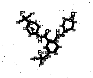 O=C(NC12CCC(C(F)(F)F)(CC1)CC2)c1cc(SC(F)(F)F)ccc1NSN1CC[S+]([O-])CC1